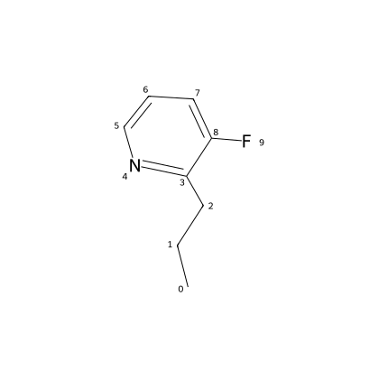 CCCc1ncccc1F